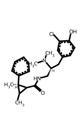 CC1C(C(=O)NC[C@H](Cc2ccc(O)c(Cl)c2)N(C)C)[C@]1(C)c1ccccc1